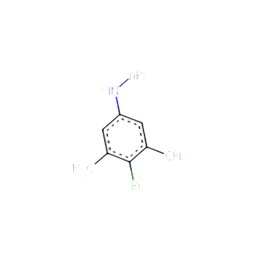 CCCNc1cc(C)c(Br)c(C)c1